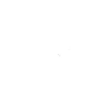 CCCCC(CC)Cc1cccc(C(=O)O)c1N(C)C